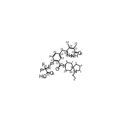 CCN1CCCC12CCN(C(=O)c1cc(Cc3n[nH]c(=O)c(C)c3C)ccc1F)CC2.O=C(O)C(F)(F)F